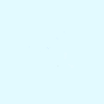 CC[n+]1ccn(C)c1.O=C([O-])C(F)(F)F